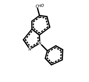 O=Cc1ccc2c(cnn2-c2ccccc2)c1